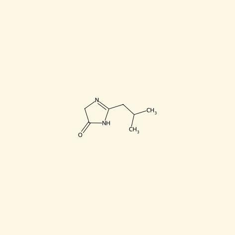 CC(C)CC1=NCC(=O)N1